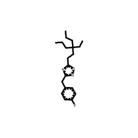 CCCC(CC)(CCC)CCc1nc(Cc2ccc(F)cc2)ns1